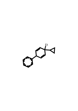 CCC1(C2CC2)[C]=CC(c2ccccc2)C=C1